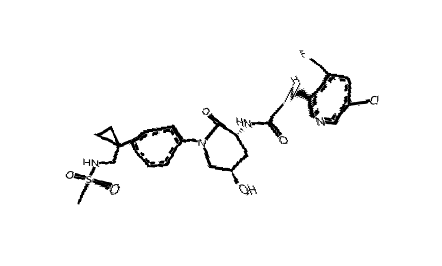 CS(=O)(=O)NCC1(c2ccc(N3C[C@H](O)C[C@@H](NC(=O)Nc4ncc(Cl)cc4F)C3=O)cc2)CC1